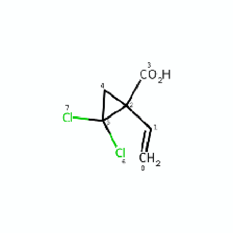 C=CC1(C(=O)O)CC1(Cl)Cl